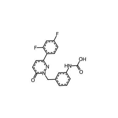 O=C(O)Nc1cccc(Cn2nc(-c3ccc(F)cc3F)ccc2=O)c1